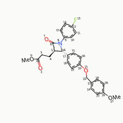 COC(=O)CC[C@H]1C(=O)N(c2ccc(F)cc2)[C@@H]1c1ccc(OCc2ccc(OC)cc2)cc1